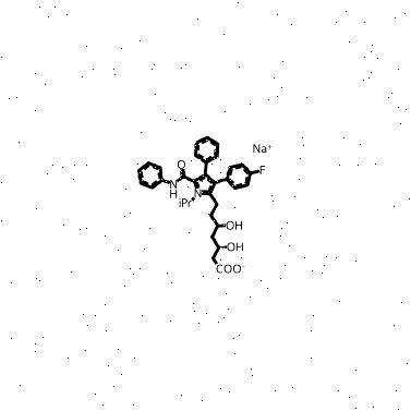 CC(C)n1c(CCC(O)C[C@@H](O)CC(=O)[O-])c(-c2ccc(F)cc2)c(-c2ccccc2)c1C(=O)Nc1ccccc1.[Na+]